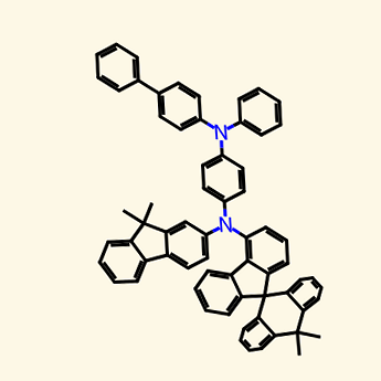 CC1(C)c2ccccc2-c2ccc(N(c3ccc(N(c4ccccc4)c4ccc(-c5ccccc5)cc4)cc3)c3cccc4c3-c3ccccc3C43c4ccccc4C(C)(C)c4ccccc43)cc21